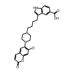 O=C(O)c1ccc2[nH]cc(CCCCN3CCN(c4cc5ccc(=O)oc5cc4Cl)CC3)c2c1